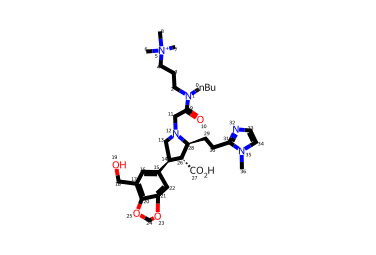 CCCCN(CCC[N+](C)(C)C)C(=O)CN1C[C@H](c2cc(CO)c3c(c2)OCO3)[C@@H](C(=O)O)[C@@H]1CCc1nccn1C